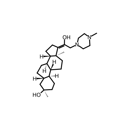 CN1CCN(C/C(O)=C2/CC[C@H]3[C@@H]4CC[C@H]5C[C@](C)(O)CC[C@@H]5[C@H]4CC[C@]23C)CC1